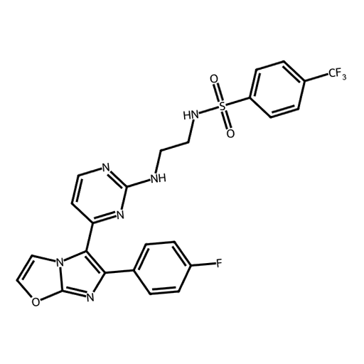 O=S(=O)(NCCNc1nccc(-c2c(-c3ccc(F)cc3)nc3occn23)n1)c1ccc(C(F)(F)F)cc1